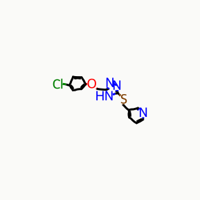 Clc1ccc(OCc2nnc(SCc3cccnc3)[nH]2)cc1